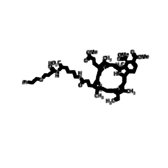 C=CC1=C(C)c2cc3[nH]c(cc4nc(cc5[nH]c(cc1n2)c(C)c5CCC(=O)NCCCCC(NC(=O)CCOCCC(C)C)C(=O)O)C(CCC(=O)OC)=C4C)[C@]1(C)C3=CC=C(C(=O)OC)[C@@H]1C(=O)OC